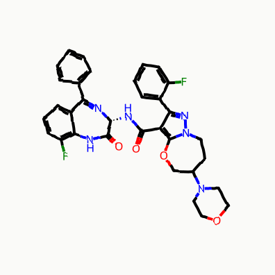 O=C(N[C@H]1N=C(c2ccccc2)c2cccc(F)c2NC1=O)c1c(-c2ccccc2F)nn2c1OCC(N1CCOCC1)CC2